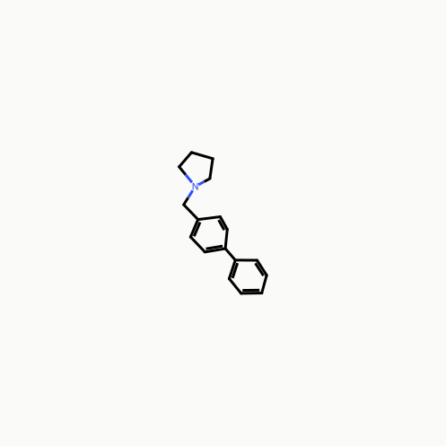 c1ccc(-c2ccc(CN3CCCC3)cc2)cc1